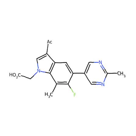 CC(=O)c1cn(CC(=O)O)c2c(C)c(F)c(-c3cnc(C)nc3)cc12